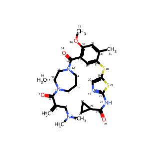 C=C(CN(C)C)C(=O)N1CCCN(C(=O)c2cc(Sc3cnc(NC(=O)C4CC4)s3)c(C)cc2OC)C[C@H]1C